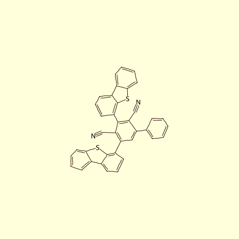 N#Cc1c(-c2ccccc2)cc(-c2cccc3c2sc2ccccc23)c(C#N)c1-c1cccc2c1sc1ccccc12